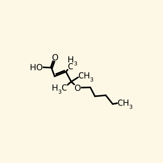 CCCCCOC(C)(C)C(C)=CC(=O)O